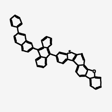 c1ccc(-c2ccc3ccc(-c4c5ccccc5c(-c5ccc6c(c5)sc5ccc7c(ccc8c9ccccc9oc87)c56)c5ccccc45)cc3c2)cc1